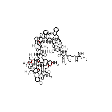 CC[C@H](C)[C@@H](C=O)N[C@H](NC(=O)[C@H](C)[C@H](Cc1ccccc1)NC(=O)[C@@H](NC(=O)CNC(=O)[C@H]1CCCN1C(=O)[C@@H](NC(=O)[C@H](Cc1ccccc1)[C@H](C)NC(=O)[C@@H](NC(=O)[C@H](C)[C@H](CC(C)C)NC(=O)[C@@H](N)N[C@H](C=O)CCCNC(=N)N)N[C@H](C=O)Cc1c[nH]c2ccccc12)N[C@H](C=O)C(C)C)N[C@H](C=O)CCCCN)C(=O)N[C@@H](C)[C@@H](Cc1ccc(O)cc1)C(=O)N[C@@H](N[C@H](C=O)CCCCN)C(N)=O